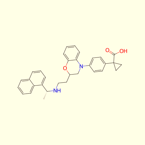 C[C@@H](NCCC1CN(c2ccc(C3(C(=O)O)CC3)cc2)c2ccccc2O1)c1cccc2ccccc12